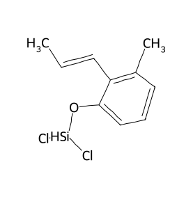 CC=Cc1c(C)cccc1O[SiH](Cl)Cl